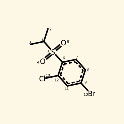 CC(C)S(=O)(=O)c1ccc(Br)cc1Cl